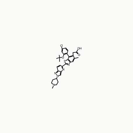 Cc1cc2nc(-c3ccc4nn(C5CCN(C)CC5)cc4n3)sc2c(-c2ccc(Cl)cc2OC(C)(C)C)c1CC(=O)O